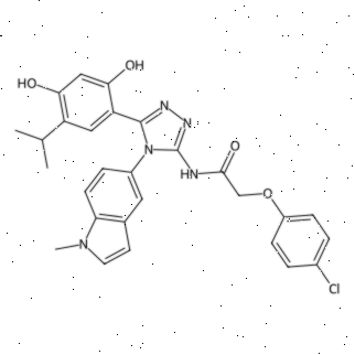 CC(C)c1cc(-c2nnc(NC(=O)COc3ccc(Cl)cc3)n2-c2ccc3c(ccn3C)c2)c(O)cc1O